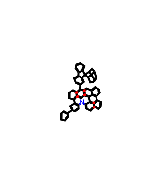 c1ccc(-c2ccc(N(c3ccc(-c4ccc5c(c4)C4(c6ccccc6-5)C5CC6CC7CC4C75C6)cc3)c3ccccc3-c3cccc4cccc(-c5ccccc5)c34)c(-c3ccccc3)c2)cc1